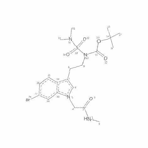 CNC(=O)Cn1cc(CCN(C(=O)OC(C)(C)C)S(=O)(=O)N(C)C)c2ccc(Br)cc21